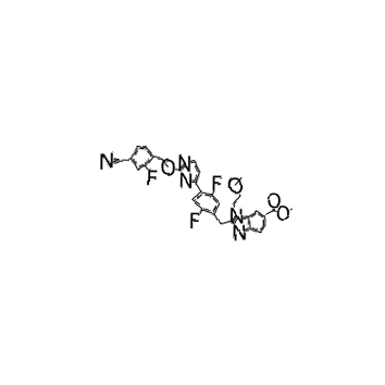 COCCn1c(Cc2cc(F)c(-c3ccnc(OCc4ccc(C#N)cc4F)n3)cc2F)nc2ccc(C(=O)OC)cc21